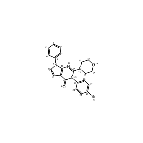 O=c1c2cnn(-c3ccccc3)c2nc(N2CCOCC2)n1-c1ccc(Br)cc1